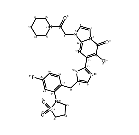 O=C(Cn1ccn2c(=O)c(O)c(-c3ncc(Cc4ccc(F)cc4N4CCCS4(=O)=O)s3)nc12)N1CCCCC1